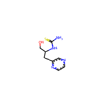 NC(=S)NC(CO)Cc1cnccn1